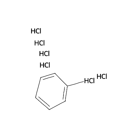 Cc1ccccc1.Cl.Cl.Cl.Cl.Cl.Cl